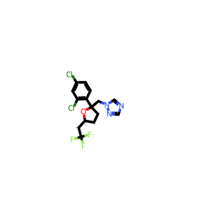 FC(F)(F)[CH]C1CCC(Cn2cncn2)(c2ccc(Cl)cc2Cl)O1